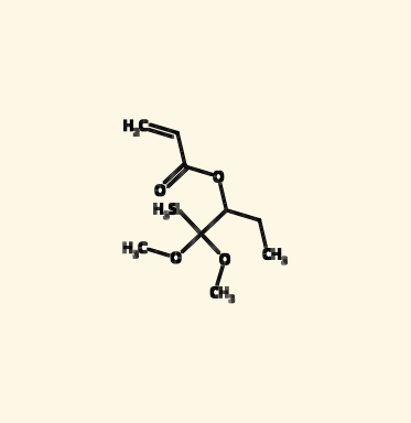 C=CC(=O)OC(CC)C([SiH3])(OC)OC